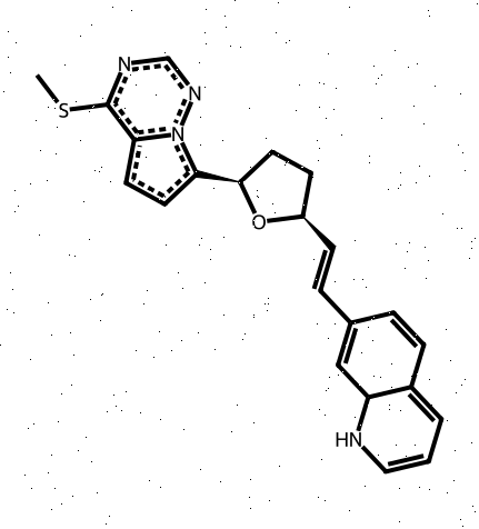 CSc1ncnn2c([C@H]3CC[C@@H](/C=C/C4=CC5NC=CC=C5C=C4)O3)ccc12